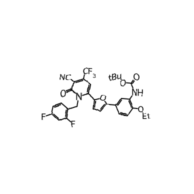 CCOc1ccc(-c2ccc(-c3cc(C(F)(F)F)c(C#N)c(=O)n3Cc3ccc(F)cc3F)o2)cc1NC(=O)OC(C)(C)C